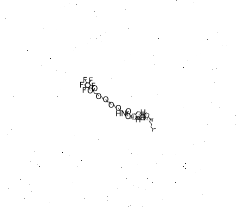 CC(C)CCC[C@@H](C)C1CC[C@H]2[C@@H]3CC=C4C[C@@H](OC(=O)NCCOCCOCCOCCOCCC(=O)Oc5c(F)c(F)c(F)c(F)c5F)CC[C@]4(C)[C@H]3CC[C@]12C